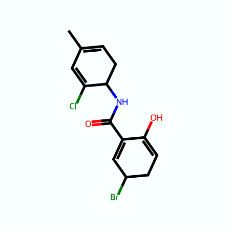 CC1=CCC(NC(=O)C2=CC(Br)CC=C2O)C(Cl)=C1